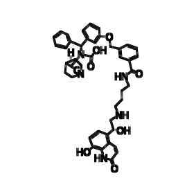 O=C(NCCCCNC[C@H](O)c1ccc(O)c2[nH]c(=O)ccc12)c1cccc(COc2cccc([C@H](c3ccccc3)N(C(=O)O)[C@H]3CN4CCC3CC4)c2)c1